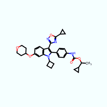 CC(OC(=O)Nc1ccc(-c2c(-c3noc(C4CC4)n3)c3ccc(OC4CCOCC4)cc3n2C2CCC2)cc1)C1CC1